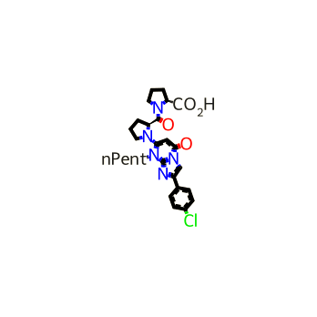 CCCCCn1c(N2CCC[C@H]2C(=O)N2CCC[C@H]2C(=O)O)cc(=O)n2cc(-c3ccc(Cl)cc3)nc12